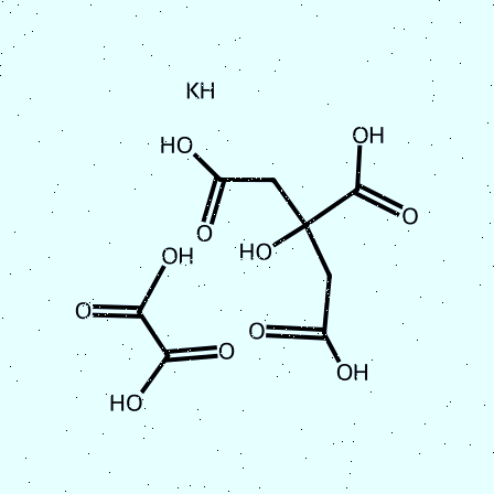 O=C(O)C(=O)O.O=C(O)CC(O)(CC(=O)O)C(=O)O.[KH]